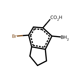 Bc1c(C(=O)O)cc(Br)c2c1CCC2